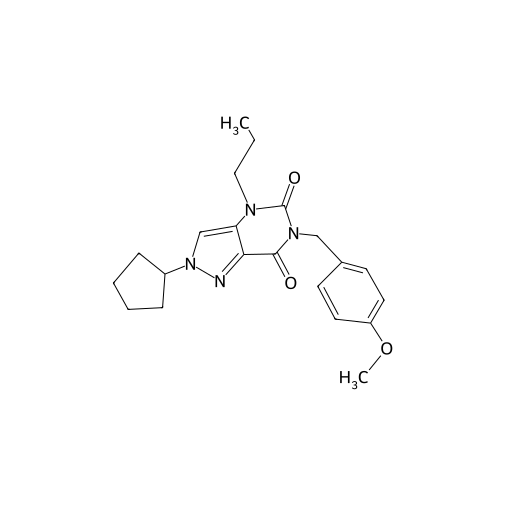 CCCn1c(=O)n(Cc2ccc(OC)cc2)c(=O)c2nn(C3CCCC3)cc21